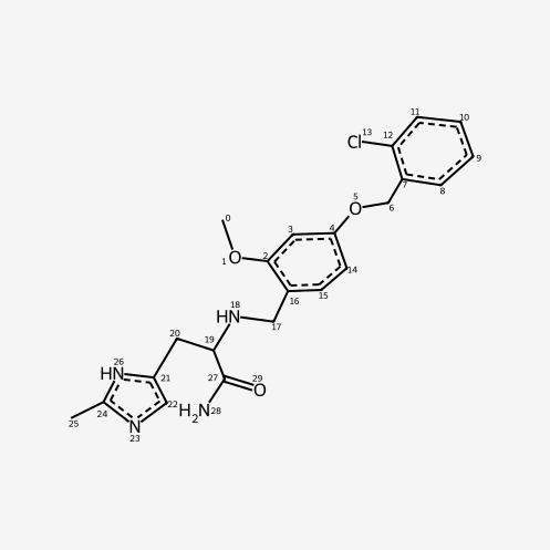 COc1cc(OCc2ccccc2Cl)ccc1CNC(Cc1cnc(C)[nH]1)C(N)=O